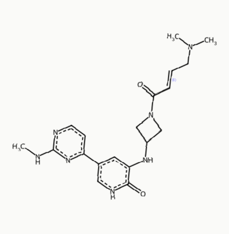 CNc1nccc(-c2c[nH]c(=O)c(NC3CN(C(=O)/C=C/CN(C)C)C3)c2)n1